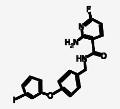 Nc1nc(F)ccc1C(=O)NCc1ccc(Oc2cccc(I)c2)cc1